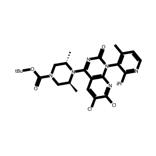 Cc1ccnc(C(C)C)c1-n1c(=O)nc(N2[C@@H](C)CN(C(=O)OC(C)(C)C)C[C@@H]2C)c2cc(Cl)c(Cl)nc21